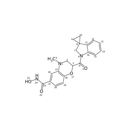 CN1CC(C(=O)N2CC3(CC3)c3ccccc32)Oc2ccc(C(=O)NO)cc21